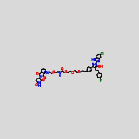 O=C(COCCOCCOCCCc1ccc(-c2nn(-c3nc4cc(Cl)ccc4[nH]3)c(O)c2CCc2ccc(F)cc2)cc1)NCCOCCNc1cccc2c1C(=O)N(C1CCC(=O)NC1=O)C2=O